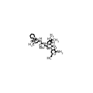 C#CCCC(NC(=O)[C@@H]1[C@@H]2[C@H](CN1C(=O)[C@@H](NC(=O)N[C@H](CN(C)S(=O)(=O)N1CCCCC1)C(C)(C)C)C(C)(C)C)C2(C)C)C(=O)C(N)=O